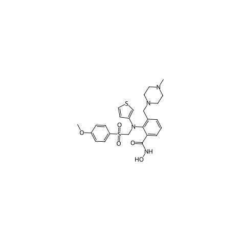 COc1ccc(S(=O)(=O)CN(c2ccsc2)c2c(CN3CCN(C)CC3)cccc2C(=O)NO)cc1